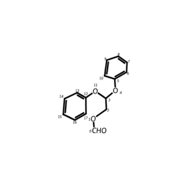 O=COCC(Oc1ccccc1)Oc1ccccc1